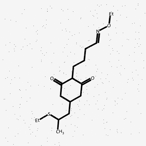 CCON=CCCCC1C(=O)CC(CC(C)SCC)CC1=O